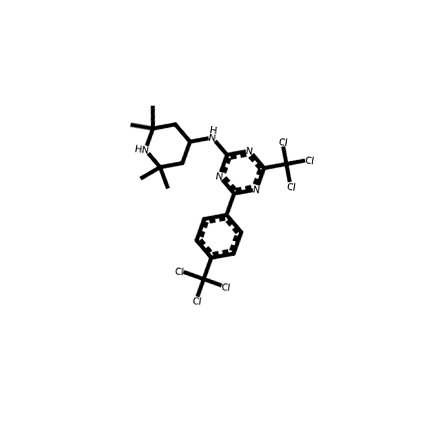 CC1(C)CC(Nc2nc(-c3ccc(C(Cl)(Cl)Cl)cc3)nc(C(Cl)(Cl)Cl)n2)CC(C)(C)N1